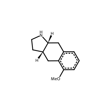 COc1cccc2c1C[C@@H]1CCN[C@@H]1C2